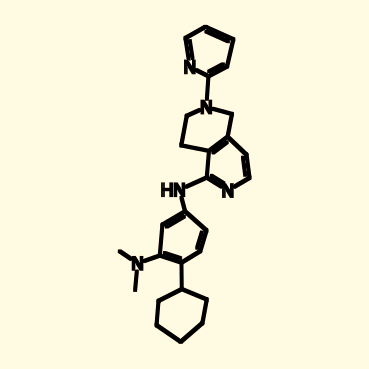 CN(C)c1cc(Nc2nccc3c2CCN(c2ccccn2)C3)ccc1C1CCCCC1